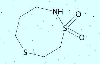 O=S1(=O)CCSCCCN1